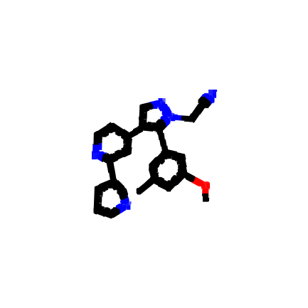 COc1cc(C)cc(-c2c(-c3ccnc(-c4cccnc4)c3)cnn2CC#N)c1